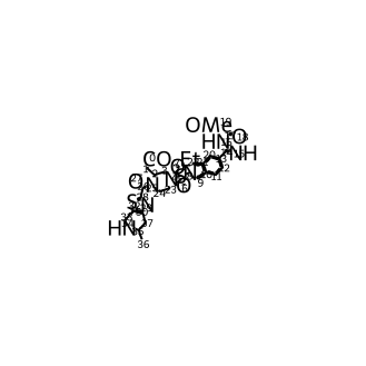 CCOC(=O)CC1CN(S(=O)(=O)n2cc3ccc(C(=N)NC(=O)OC)cc3c2)CCN1C(=O)c1nc2c(s1)CNC(C)C2